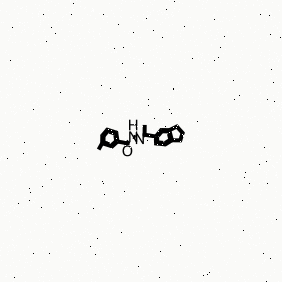 CC(=NNC(=O)c1cccc(C)c1)c1ccc2c(c1)CCC2